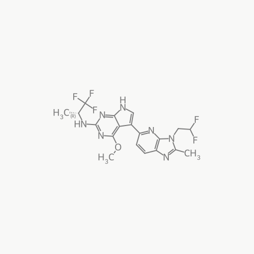 COc1nc(N[C@H](C)C(F)(F)F)nc2[nH]cc(-c3ccc4nc(C)n(CC(F)F)c4n3)c12